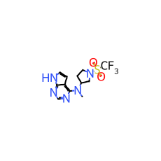 CN(c1ncnc2[nH]ccc12)C1CCN(S(=O)(=O)C(F)(F)F)C1